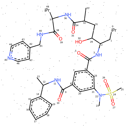 CC(C)CC(NC(=O)c1cc(C(=O)NC(C)c2ccccc2)cc(N(C)S(C)(=O)=O)c1)C(O)CC(C)C(=O)NC(C(=O)NCc1ccncc1)C(C)C